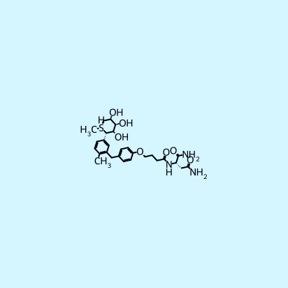 Cc1ccc([C@H]2[C@H](O)[C@H](O)[C@H](O)C[SH]2C)cc1Cc1ccc(OCCCC(=O)N[C@@H](CC(N)=O)C(N)=O)cc1